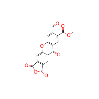 COC(=O)c1cc2c(=O)c3cc4c(cc3oc2cc1C=O)C(=O)OC4=O